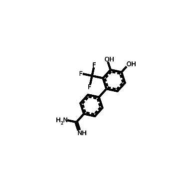 N=C(N)c1ccc(-c2ccc(O)c(O)c2C(F)(F)F)cc1